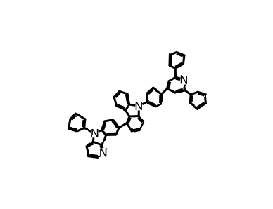 c1ccc(-c2cc(-c3ccc(-n4c5ccccc5c5c(-c6ccc7c(c6)c6ncccc6n7-c6ccccc6)cccc54)cc3)cc(-c3ccccc3)n2)cc1